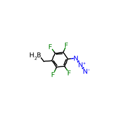 BCc1c(F)c(F)c(N=[N+]=[N-])c(F)c1F